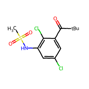 CC(C)(C)C(=O)c1cc(Cl)cc(NS(C)(=O)=O)c1Cl